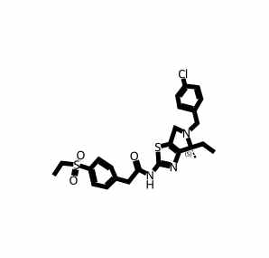 CC[C@@]1(C)c2nc(NC(=O)Cc3ccc(S(=O)(=O)CC)cc3)sc2CN1Cc1ccc(Cl)cc1